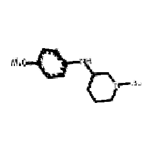 COc1ccc(NC2CCCN(C(C)(C)C)C2)cc1